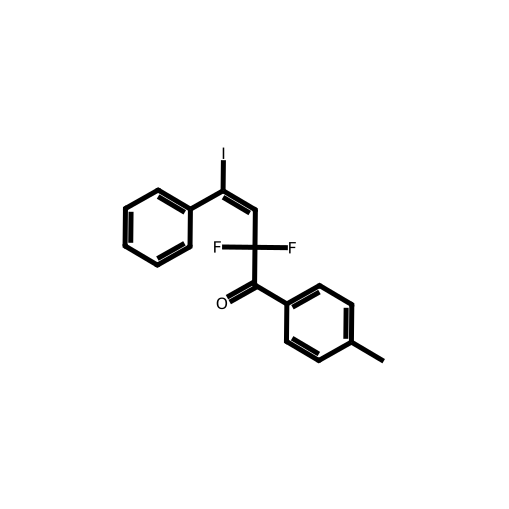 Cc1ccc(C(=O)C(F)(F)/C=C(/I)c2ccccc2)cc1